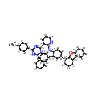 CC(C)(C)c1ccc(-c2nc(-c3ccccc3)nc(-c3cccnc3-n3c4ccccc4c4cc(-c5cccc6c5oc5ccccc56)ccc43)n2)cc1